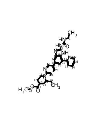 CCNC(=O)Nc1nc2cc(-c3cnc(N4CCC(C(=O)OCC)CC4CC)nc3)cc(-c3ccccn3)c2[nH]1